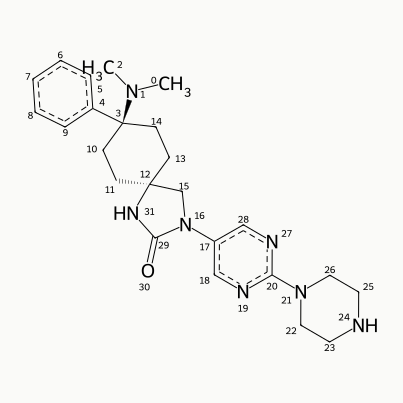 CN(C)[C@]1(c2ccccc2)CC[C@]2(CC1)CN(c1cnc(N3CCNCC3)nc1)C(=O)N2